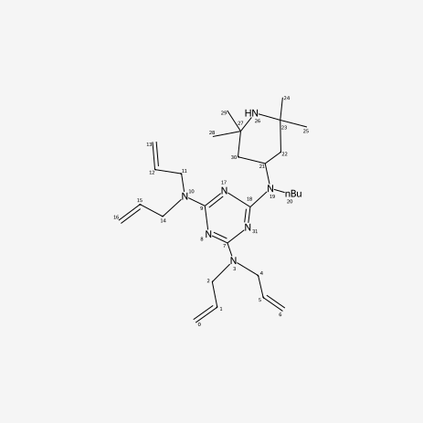 C=CCN(CC=C)c1nc(N(CC=C)CC=C)nc(N(CCCC)C2CC(C)(C)NC(C)(C)C2)n1